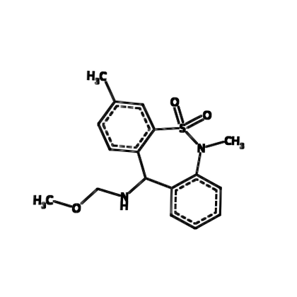 COCNC1c2ccccc2N(C)S(=O)(=O)c2cc(C)ccc21